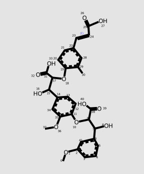 COc1cccc(C(O)C(Oc2ccc(C(O)C(Oc3ccc(/C=C/C(=O)O)cc3C)C(=O)O)cc2OC)C(=O)O)c1